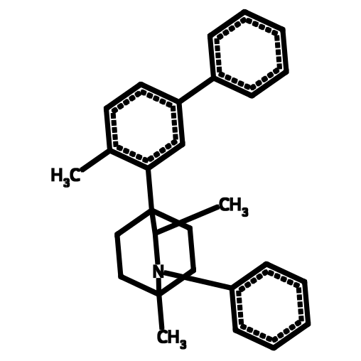 Cc1ccc(-c2ccccc2)cc1C12CCC(C)(CC1)N(c1ccccc1)C2C